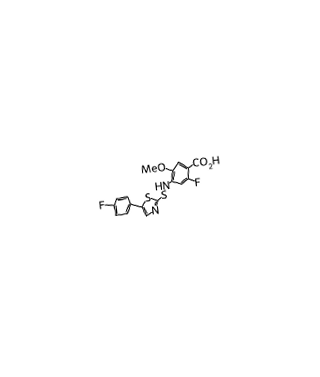 COc1cc(C(=O)O)c(F)cc1NSc1ncc(-c2ccc(F)cc2)s1